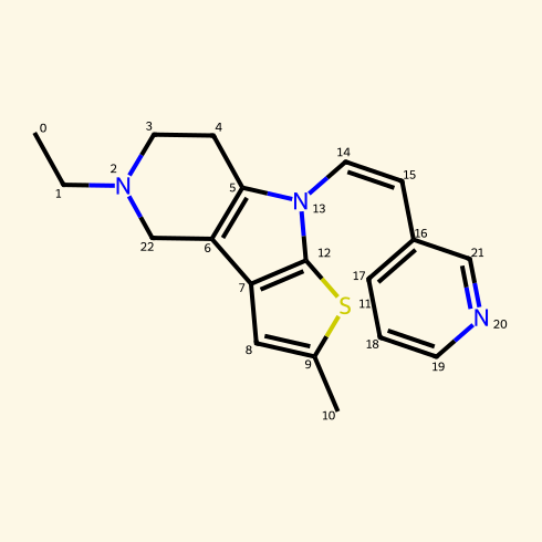 CCN1CCc2c(c3cc(C)sc3n2/C=C\c2cccnc2)C1